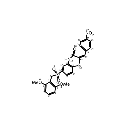 COc1cccc(OC)c1CS(=O)(=O)c1ccc2c(c1)NC(=O)/C(=C\c1ccc([N+](=O)[O-])cc1)S2